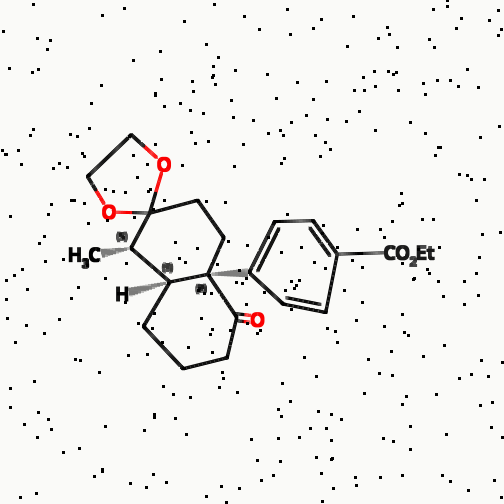 CCOC(=O)c1ccc([C@@]23CCC4(OCCO4)[C@@H](C)[C@@H]2CCCC3=O)cc1